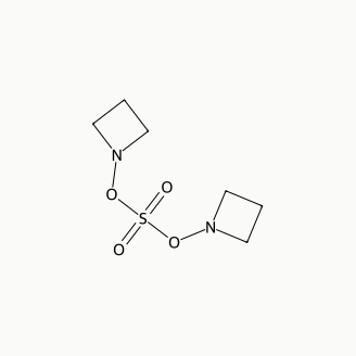 O=S(=O)(ON1CCC1)ON1CCC1